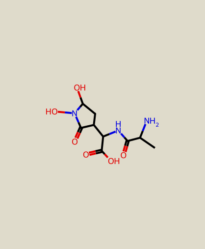 CC(N)C(=O)NC(C(=O)O)C1CC(O)N(O)C1=O